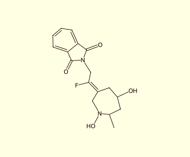 CC1CC(O)C/C(=C(/F)CN2C(=O)c3ccccc3C2=O)CN1O